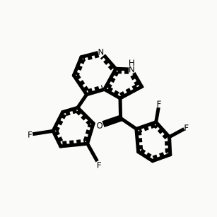 O=C(c1cccc(F)c1F)c1c[nH]c2nccc(-c3cc(F)cc(F)c3)c12